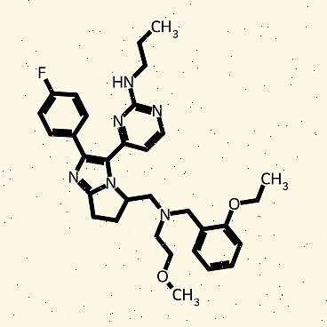 CCCNc1nccc(-c2c(-c3ccc(F)cc3)nc3n2C(CN(CCOC)Cc2ccccc2OCC)CC3)n1